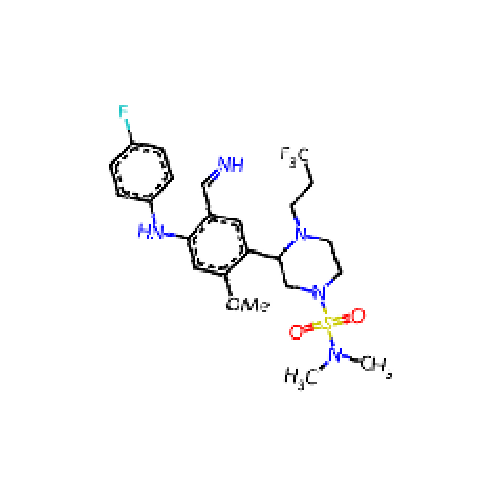 COc1cc(Nc2ccc(F)cc2)c(C=N)cc1C1CN(S(=O)(=O)N(C)C)CCN1CCC(F)(F)F